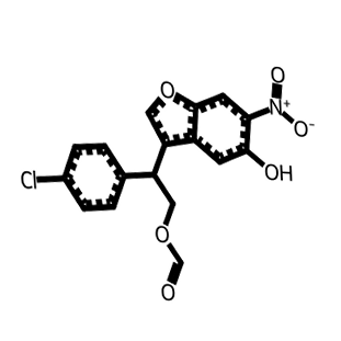 O=COCC(c1ccc(Cl)cc1)c1coc2cc([N+](=O)[O-])c(O)cc12